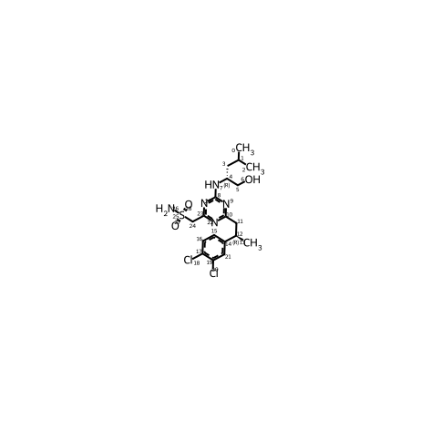 CC(C)C[C@H](CO)Nc1nc(C[C@@H](C)c2ccc(Cl)c(Cl)c2)nc(CS(N)(=O)=O)n1